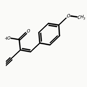 COc1ccc(C=C(C#N)C(=O)O)cc1